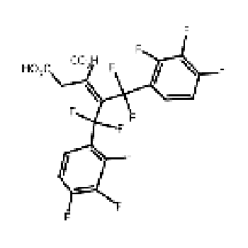 O=C(O)CC(C(=O)O)=C(C(F)(F)c1ccc(F)c(F)c1F)C(F)(F)c1ccc(F)c(F)c1F